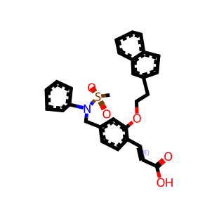 CS(=O)(=O)N(Cc1ccc(/C=C/C(=O)O)c(OCCc2ccc3ccccc3c2)c1)c1ccccc1